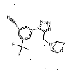 N#Cc1cc(-n2nnnc2CN2CC3CC2CO3)cc(C(F)(F)F)c1